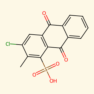 Cc1c(Cl)cc2c(c1S(=O)(=O)O)C(=O)c1ccccc1C2=O